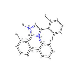 Cc1cccc(C)c1-c1c[n+](C)c2c3c(C)cccc3c3ccccc3n12